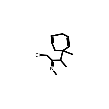 C/N=C(/CCl)C(C)C1(C)C=CCC=CC1